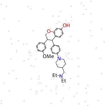 CCN(CC)CC1CCN(c2ccc(C3c4ccc(O)cc4OCC3c3cccc(OC)c3)cc2)CC1